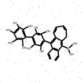 C=Cc1c(C=C)c(-c2c(O)c(O)c(-c3c(O)c(O)c(O)c(O)c3O)c(O)c2O)c2c(c1B(O)O)CC=CC=C2